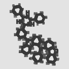 C1=CC(C2NC(c3ccccc3)NC(c3cccc(-n4c5ccccc5c5c4ccc4c6ccc7oc8ccccc8c7c6n(-c6ccccc6)c45)c3)N2)=CCC1